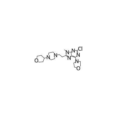 Cn1c(CCN2CCN(C3CCOCC3)CC2)nc2c(N3CCOCC3)nc(Cl)nc21